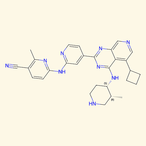 Cc1nc(Nc2cc(-c3nc(N[C@H]4CCNC[C@H]4C)c4c(C5CCC5)cncc4n3)ccn2)ccc1C#N